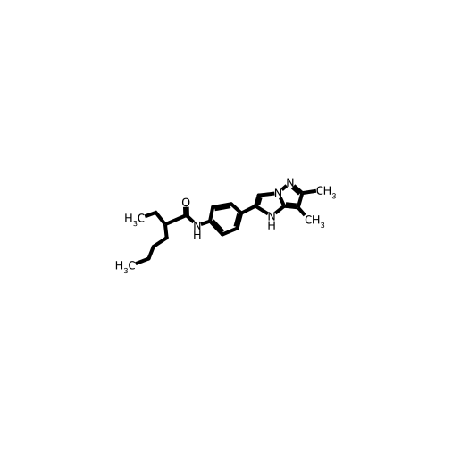 CCCCC(CC)C(=O)Nc1ccc(-c2cn3nc(C)c(C)c3[nH]2)cc1